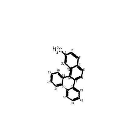 Cc1ccc2ccc(-c3[c]cccc3)c(-c3ccccc3)c2c1